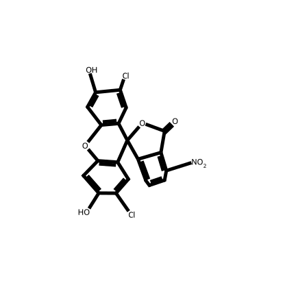 O=C1OC2(c3cc(Cl)c(O)cc3Oc3cc(O)c(Cl)cc32)c2cccc([N+](=O)[O-])c21